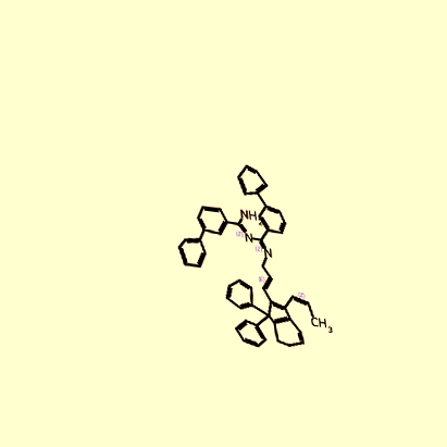 C/C=C\C1=C(/C=C/C/N=C(\N=C(/N)c2cccc(-c3ccccc3)c2)c2cccc(-c3ccccc3)c2)C(c2ccccc2)(c2ccccc2)C2=C1C=CCC2